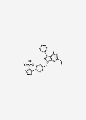 CCc1cc2c(c(C)n1)c(-c1ccccc1)nn2Cc1ccc(-c2ccsc2S(=O)(=O)O)cc1